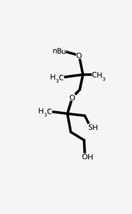 CCCCOC(C)(C)COC(C)(CS)CCO